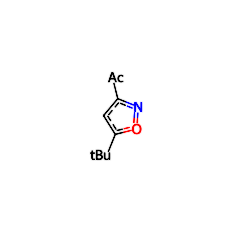 CC(=O)c1cc(C(C)(C)C)on1